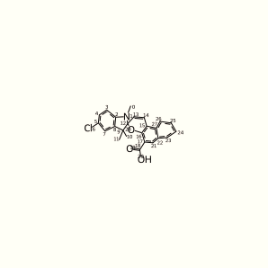 CN1c2ccc(Cl)cc2C(C)(C)C12C=Cc1c(c(C(=O)O)cc3ccccc13)O2